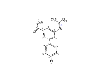 COC(=O)c1cc(/N=C(\Cl)C(F)(F)F)cc(-c2ccc(Cl)cc2)c1